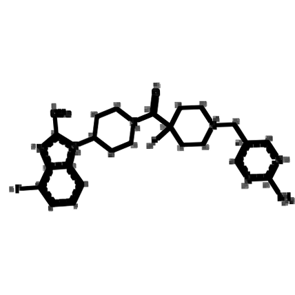 COc1nc2c(F)cccc2n1C1CCN(C(=O)C2(F)CCN(Cc3cnc(N)nc3)CC2)CC1